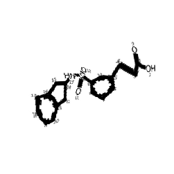 O=C(O)C=Cc1cccc(S(=O)(=O)NC2Cc3ccccc3C2)c1